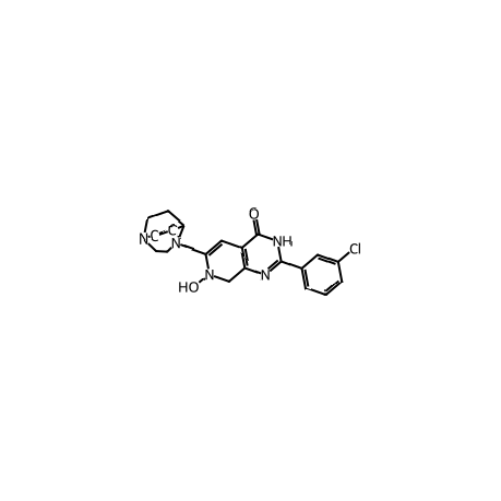 O=c1[nH]c(-c2cccc(Cl)c2)nc2c1C=C(N1CCN3CCC1CC3)N(O)C2